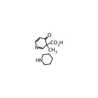 C1CCNCC1.CC1(C(=O)O)C=NC=CC1=O